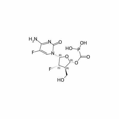 Nc1nc(=O)n([C@@H]2O[C@H](OC(=O)P(O)O)[C@@H](CO)[C@@H]2F)cc1F